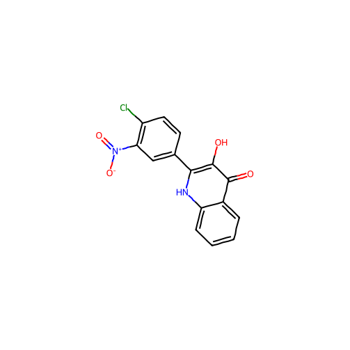 O=c1c(O)c(-c2ccc(Cl)c([N+](=O)[O-])c2)[nH]c2ccccc12